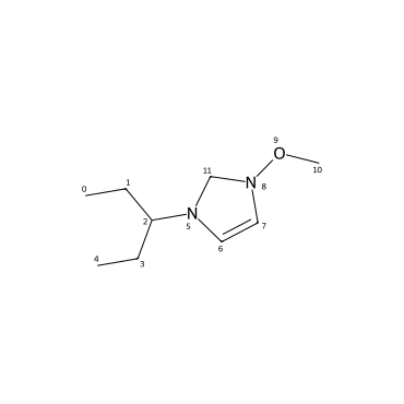 CCC(CC)N1C=CN(OC)C1